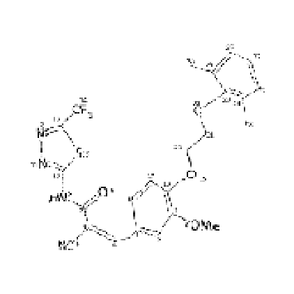 COc1cc(/C=C(/C#N)C(=O)Nc2nnc(C(F)(F)F)s2)ccc1OCCOc1c(C)cccc1C